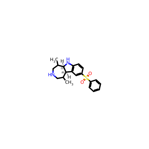 CC1CNCC(C)[C@@H]2c3cc(S(=O)(=O)c4ccccc4)ccc3N[C@H]12